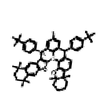 Cc1cc2c3c(c1)[C@H](c1ccc(C(C)(C)C)cc1)c1c(sc4cc5c(cc14)C(C)(C)CCC5(C)C)B3c1c(ccc3c1OC1(C)CCCCC31C)C2c1ccc(C(C)(C)C)cc1